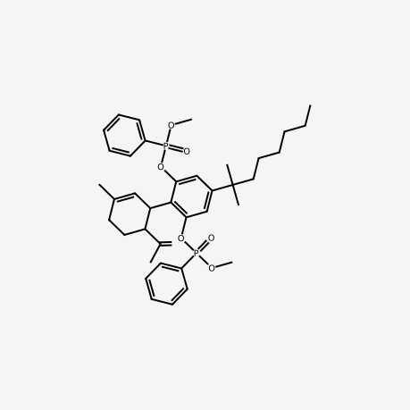 C=C(C)C1CCC(C)=CC1c1c(OP(=O)(OC)c2ccccc2)cc(C(C)(C)CCCCCC)cc1OP(=O)(OC)c1ccccc1